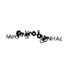 COc1cccc(CNc2nc(Cc3ccc(-c4ccc(N5CC(CNC(C)=O)OC5=O)cc4F)cc3)cs2)c1